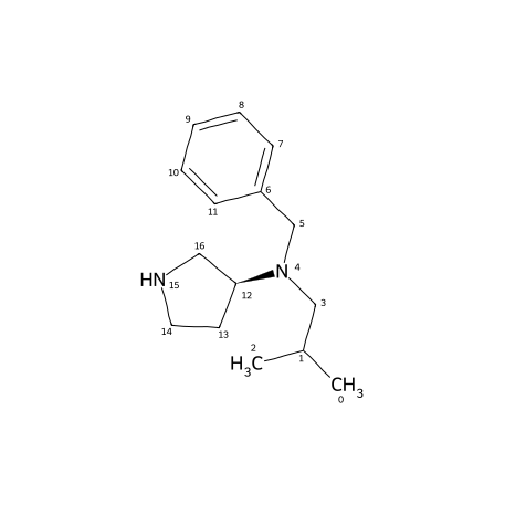 CC(C)CN(Cc1ccccc1)[C@H]1CCNC1